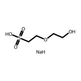 O=S(=O)(O)CCOCCO.[NaH]